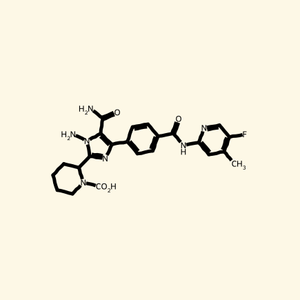 Cc1cc(NC(=O)c2ccc(-c3nc(C4CCCCN4C(=O)O)n(N)c3C(N)=O)cc2)ncc1F